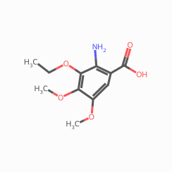 CCOc1c(N)c(C(=O)O)cc(OC)c1OC